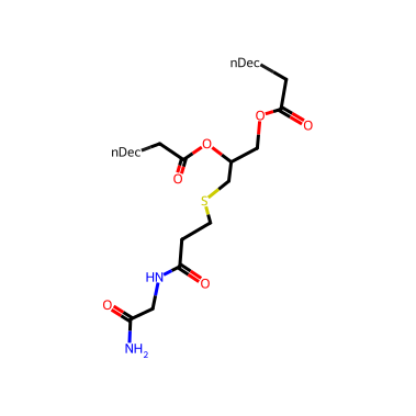 CCCCCCCCCCCC(=O)OCC(CSCCC(=O)NCC(N)=O)OC(=O)CCCCCCCCCCC